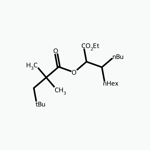 CCCCCCC(CCCC)C(OC(=O)C(C)(C)CC(C)(C)C)C(=O)OCC